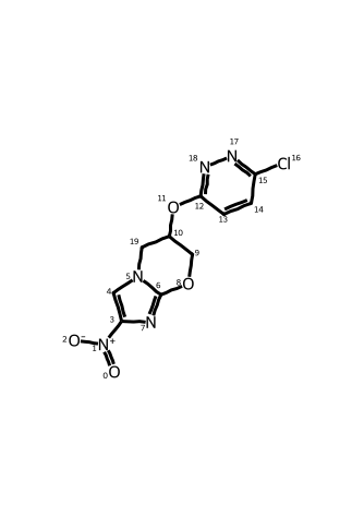 O=[N+]([O-])c1cn2c(n1)OCC(Oc1ccc(Cl)nn1)C2